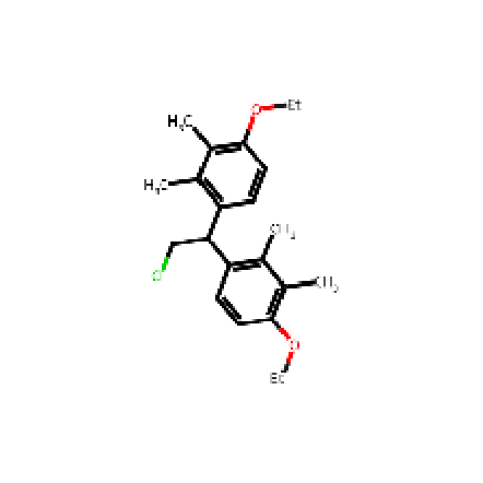 CCOc1ccc(C(CCl)c2ccc(OCC)c(C)c2C)c(C)c1C